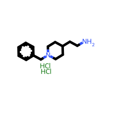 Cl.Cl.NCCC1CCN(Cc2ccccc2)CC1